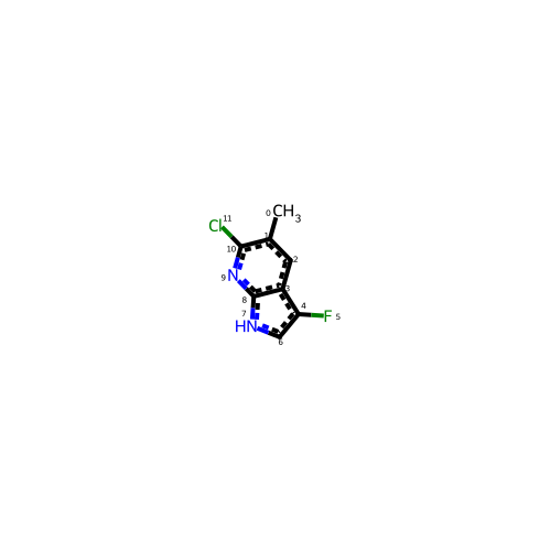 Cc1cc2c(F)c[nH]c2nc1Cl